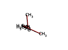 CCCCCCCCC=CCCCCCCCC(=O)OCC(COC(=S)NCCN(C)C)OC(=O)CCCCCCCC=CCCCCCCCC